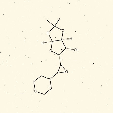 CC1(C)O[C@@H]2O[C@@H](C3OC3N3CCOCC3)[C@@H](O)[C@@H]2O1